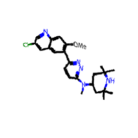 COc1cc2ncc(Cl)cc2cc1-c1ccc(N(C)C2CC(C)(C)NC(C)(C)C2)nn1